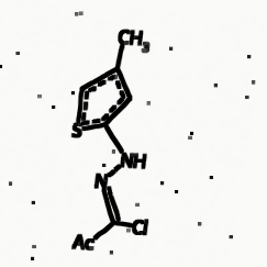 CC(=O)C(Cl)=NNc1cc(C)cs1